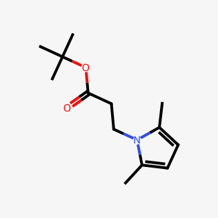 Cc1ccc(C)n1CCC(=O)OC(C)(C)C